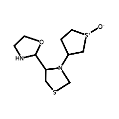 [O-][S+]1CCC(N2CSCC2C2NCCO2)C1